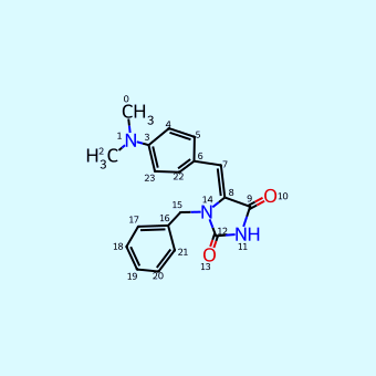 CN(C)c1ccc(C=C2C(=O)NC(=O)N2Cc2ccccc2)cc1